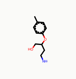 Cc1ccc(OC(CO)CC[NH])cc1